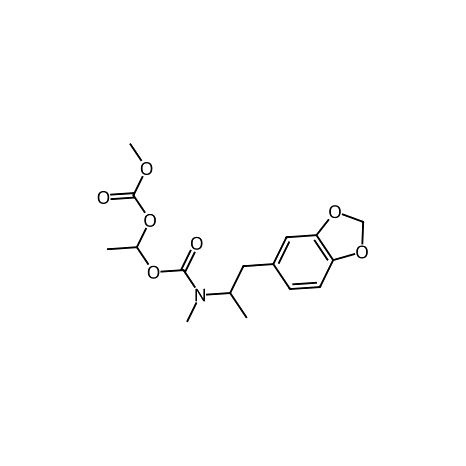 COC(=O)OC(C)OC(=O)N(C)C(C)Cc1ccc2c(c1)OCO2